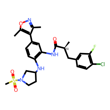 Cc1noc(C)c1-c1ccc(NC2CCN(S(C)(=O)=O)C2)c(NC(=O)[C@@H](C)Cc2ccc(Cl)c(F)c2)c1